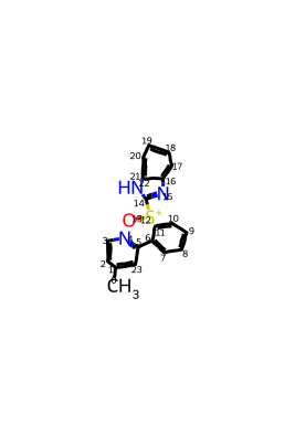 Cc1ccnc(-c2ccccc2[S+]([O-])c2nc3ccccc3[nH]2)c1